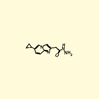 NNC(=O)Cc1cn2cc(C3CC3)ccc2n1